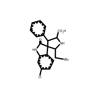 CC(C)(C)CC1NC(C(=O)O)C(c2ccccc2)C12C(=O)Nc1cc(Cl)ccc12